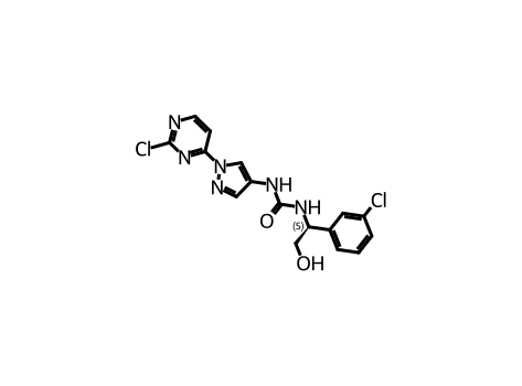 O=C(Nc1cnn(-c2ccnc(Cl)n2)c1)N[C@H](CO)c1cccc(Cl)c1